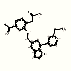 CC(=O)c1ccc(CC(=O)O)c(OCc2cc(-c3ccnc(CN)c3)c3occc3c2)c1